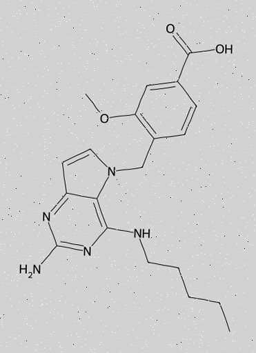 CCCCCNc1nc(N)nc2ccn(Cc3ccc(C(=O)O)cc3OC)c12